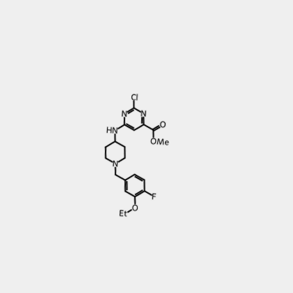 CCOc1cc(CN2CCC(Nc3cc(C(=O)OC)nc(Cl)n3)CC2)ccc1F